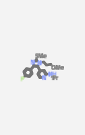 COCCCn1c(SC)nc(-c2ccc(F)cc2)c1-c1ccnc(NC(C)C)c1